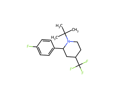 CC(C)(C)N1CCC(C(F)(F)F)CC1c1ccc(F)cc1